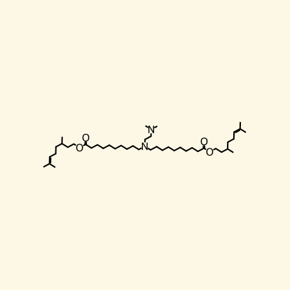 CC(C)=CCCC(C)CCOC(=O)CCCCCCCCCN(CCCCCCCCCC(=O)OCCC(C)CCC=C(C)C)CCN(C)C